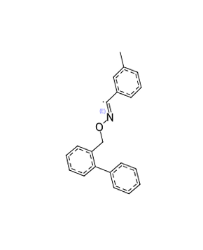 Cc1cccc(/[C]=N/OCc2ccccc2-c2ccccc2)c1